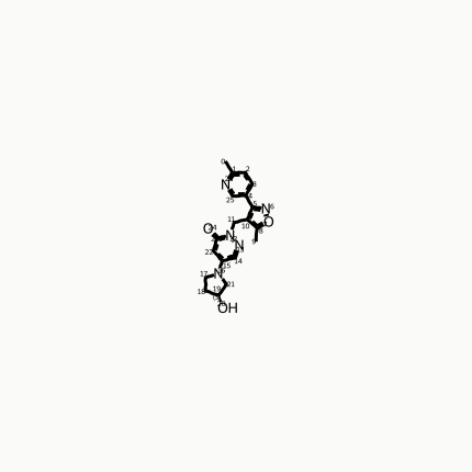 Cc1ccc(-c2noc(C)c2Cn2ncc(N3CC[C@H](O)C3)cc2=O)cn1